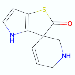 O=C1Sc2cc[nH]c2C12C=CCNC2